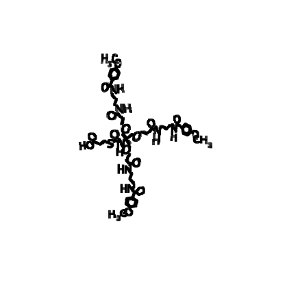 COc1ccc(C(=O)NCCCNC(=O)CCOCC(COCCC(=O)NCCCNC(=O)c2ccc(OC)cc2)(COCCC(=O)NCCCNC(=O)c2ccc(OC)cc2)NC(=O)SCCC(=O)O)cc1